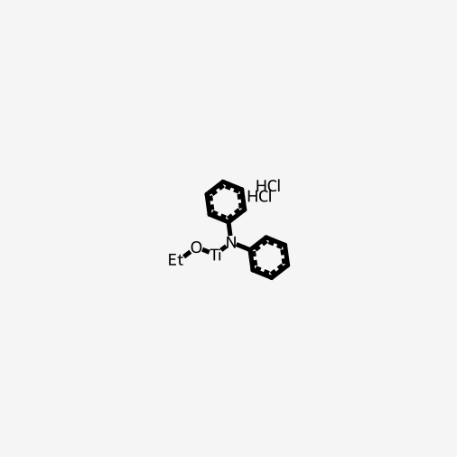 CC[O][Ti][N](c1ccccc1)c1ccccc1.Cl.Cl